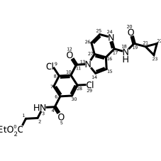 CCOC(=O)CCNC(=O)c1cc(Cl)c(C(=O)n2ccc3c(NC(=O)C4CC4)nccc32)c(Cl)c1